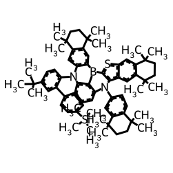 Cc1cc2c3c(c1)N(c1ccc4c(c1)C(C)(C)CCC4(C)C)c1c(sc4cc5c(cc14)C(C)(C)CCC5(C)C)B3c1cc3c(cc1N2c1ccc(C(C)(C)C)cc1-c1ccc([Si](C)(C)C)cc1)C(C)(C)CCC3(C)C